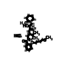 COCCCCOc1ccccc1C(=O)NCC(CC(N)C(O)CN1CCCC[C@@H]1C)C(C)C.Cl.Cl